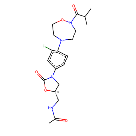 CC(=O)NC[C@H]1CN(c2ccc(N3CCON(C(=O)C(C)C)CC3)c(F)c2)C(=O)O1